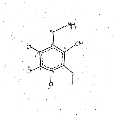 CCc1c(Cl)c(Cl)c(Cl)c(CN)c1Cl